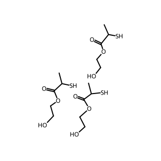 CC(S)C(=O)OCCO.CC(S)C(=O)OCCO.CC(S)C(=O)OCCO